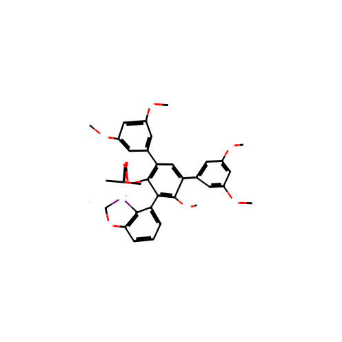 COc1cc(OC)cc(-c2cc(-c3cc(OC)cc(OC)c3)c(OC)c(-c3cccc4c3[P@](C(C)(C)C)[C@@H](C)O4)c2OC)c1